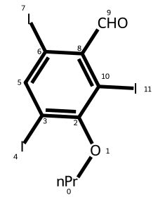 CCCOc1c(I)cc(I)c(C=O)c1I